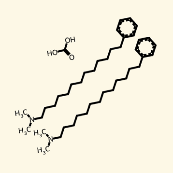 CN(C)CCCCCCCCCCCCCc1ccccc1.CN(C)CCCCCCCCCCCCCc1ccccc1.O=C(O)O